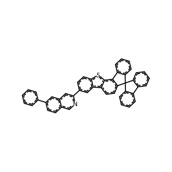 c1ccc(-c2ccc3cnc(-c4ccc5sc6c7c(ccc6c5c4)C4(c5ccccc5-c5ccccc54)c4ccccc4-7)cc3c2)cc1